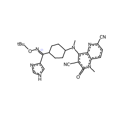 CN(c1c(C#N)c(=O)n(C)c2ccc(C#N)nc12)C1CCC(/C(=N/OC(C)(C)C)c2c[nH]cn2)CC1